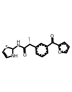 C[C@@H](C(=O)NC1NC=CS1)c1cccc(C(=O)c2ccco2)c1